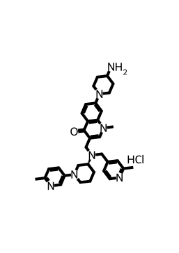 Cc1ccc(N2CCC[C@H](N(Cc3ccnc(C)c3)Cc3cn(C)c4cc(N5CCC(N)CC5)ccc4c3=O)C2)cn1.Cl